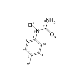 Cc1ccc(N(Cl)C(N)=O)cc1